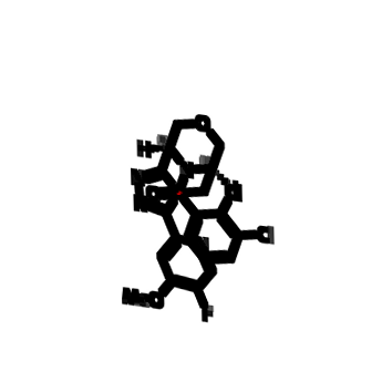 COc1cc(-c2nnc3n2C[C@@H]2COC[C@H]3N2C(=O)c2cccc(Cl)c2Cl)ncc1F